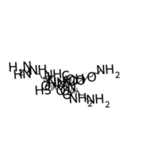 C[C@@H](O)[C@H](NC(=O)[C@H](CS)NC(=O)[C@@H](N)CCCNC(=N)N)C(=O)N(C(=O)COCCOCCN)[C@@H](CCCCN)C(N)=O